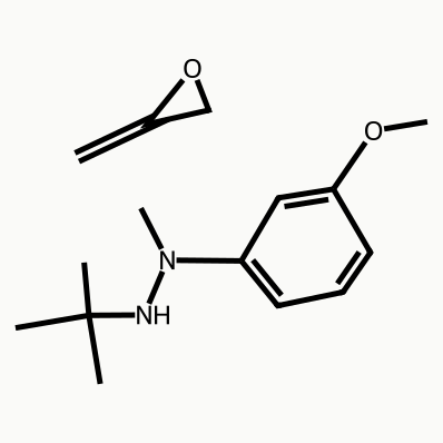 C=C1CO1.COc1cccc(N(C)NC(C)(C)C)c1